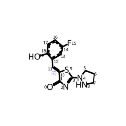 O=C1N=C(N2CCCN2)S/C1=C\c1cc(F)ccc1O